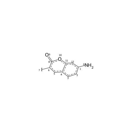 Nc1ccc2cc(I)c(=O)oc2c1